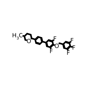 CC1CCC(c2ccc(-c3cc(F)c(OCc4cc(F)c(F)c(F)c4)c(F)c3)cc2)OC1